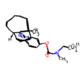 CN(CC(=O)O)C(=O)Oc1ccc2c(c1)[C@@]1(C)CCCCC[C@@H](C2)[C@@H]1N